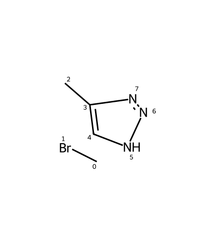 CBr.Cc1c[nH]nn1